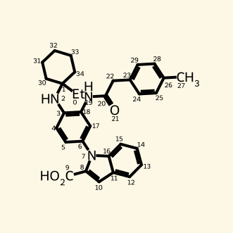 CCC1(Nc2ccc(-n3c(C(=O)O)cc4ccccc43)cc2NC(=O)Cc2ccc(C)cc2)CCCCC1